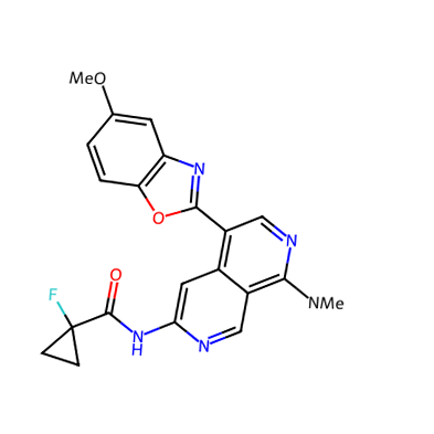 CNc1ncc(-c2nc3cc(OC)ccc3o2)c2cc(NC(=O)C3(F)CC3)ncc12